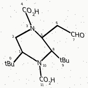 CC(C)(C)C1CN(C(=O)O)C(CC=O)C(C(C)(C)C)N1C(=O)O